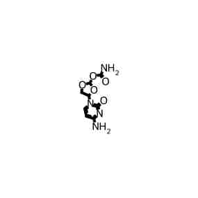 NC(=O)OC1OCC(n2ccc(N)nc2=O)O1